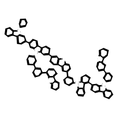 c1ccc(-n2c3ccccc3c3ccc(-c4ccc5c6ccc(-c7ccc8c(c7)oc7ccc(-c9cccc(-n%10c%11ccccc%11c%11c(-c%12ccc%13c%14ccccc%14n(-c%14cccc(-c%15ccc%16oc%17ccccc%17c%16c%15)c%14)c%13c%12)cccc%11%10)c9)cc78)cc6n(-c6cccc(-c7cccc(-c8cccc9c8oc8ccccc89)c7)c6)c5c4)cc32)cc1